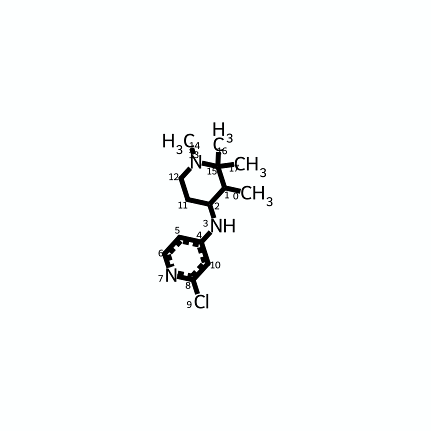 CC1C(Nc2ccnc(Cl)c2)CCN(C)C1(C)C